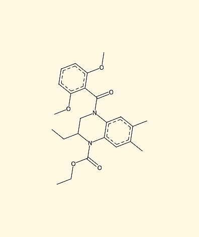 CCOC(=O)N1c2cc(C)c(C)cc2N(C(=O)c2c(OC)cccc2OC)CC1CC